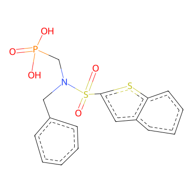 O=P(O)(O)CN(Cc1ccccc1)S(=O)(=O)c1cc2ccccc2s1